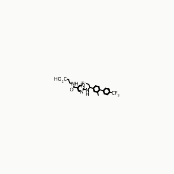 Cc1cc(C(CC(C)C)Nc2ncc(C(=O)NCCC(=O)O)cn2)ccc1-c1ccc(C(F)(F)F)cc1